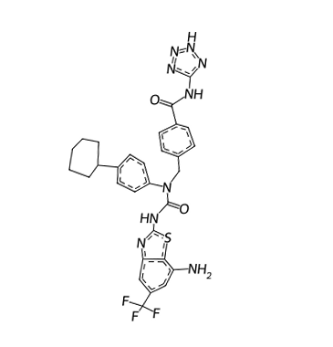 Nc1cc(C(F)(F)F)cc2nc(NC(=O)N(Cc3ccc(C(=O)Nc4nn[nH]n4)cc3)c3ccc(C4CCCCC4)cc3)sc12